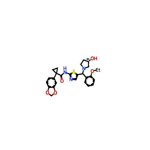 CCOc1ccccc1C(c1cnc(NC(=O)C2(c3ccc4c(c3)OCO4)CC2)s1)N1CC[C@@H](O)C1